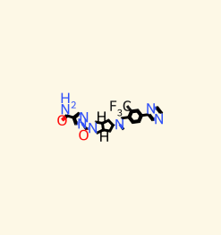 CN(Cc1ccc(-c2cnccn2)cc1C(F)(F)F)[C@@H]1C[C@@H]2CN(C(=O)n3cc(C(N)=O)cn3)C[C@@H]2C1